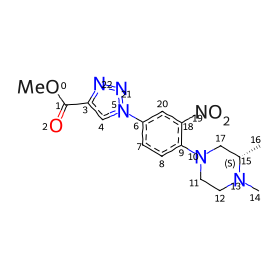 COC(=O)c1cn(-c2ccc(N3CCN(C)[C@@H](C)C3)c([N+](=O)[O-])c2)nn1